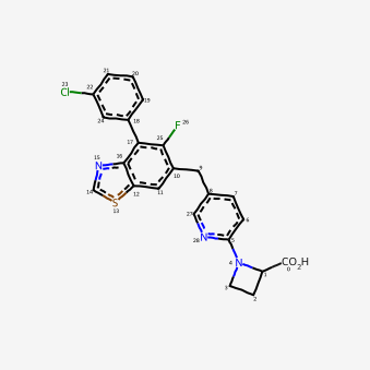 O=C(O)C1CCN1c1ccc(Cc2cc3scnc3c(-c3cccc(Cl)c3)c2F)cn1